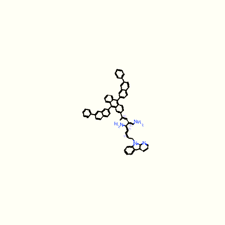 C\C(=C/C(=C\N)C(/N)=C/C=C\CN1c2ccccc2C2C=CC=NC21)c1ccc2c(-c3ccc4ccc(-c5ccccc5)cc4c3)c3ccccc3c(-c3ccc4ccc(-c5ccccc5)cc4c3)c2c1